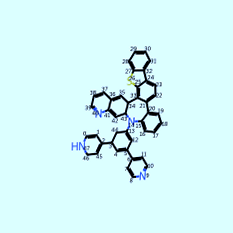 C1=CC(C2C=C(c3ccncc3)C=C(N3c4ccccc4-c4ccc5c(sc6ccccc65)c4C4C=c5cccnc5=CC43)C2)=CCN1